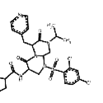 CC(C)N1CC2N(C(=O)C(NC(=O)C3CCCC3)CN2S(=O)(=O)c2ccc(Cl)cc2Cl)C(Cc2ccncc2)C1=O